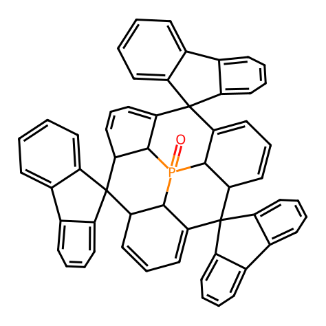 O=P12C3C4=CC=CC3C3(C5=CC=CC(C51)C1(c5ccccc5-c5ccccc51)C1C=CC=C(C12)C41c2ccccc2-c2ccccc21)c1ccccc1-c1ccccc13